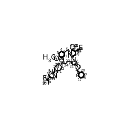 COc1ccc(Cn2nc(N3C[C@@H](OCc4ccccc4)C[C@H]3CCC(=O)N3CCN(c4ncc(C(F)(F)F)cn4)CC3)cc(C(F)(F)F)c2=O)cc1